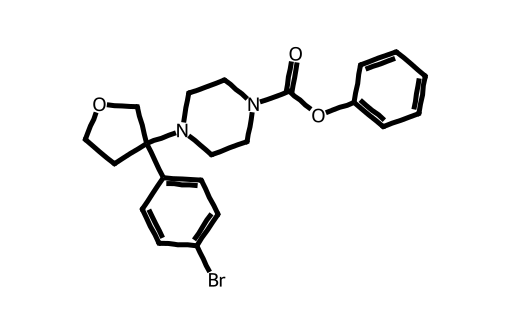 O=C(Oc1ccccc1)N1CCN(C2(c3ccc(Br)cc3)CCOC2)CC1